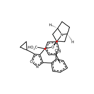 Cc1cc(C(=O)O)cc(N2[C@@H]3CC[C@H]2C[C@@H](OCc2c(-c4ccccc4C(F)(F)F)noc2C2CC2)C3)n1